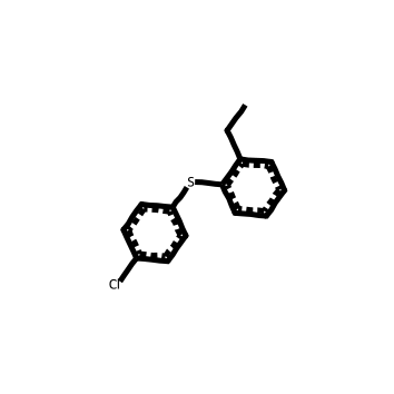 CCc1ccccc1Sc1ccc(Cl)cc1